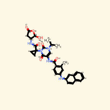 Cc1cc(Nc2ccc3ccccc3c2)ccc1C(=O)Nc1cn(C(C)C)c(=O)n(C2(C(=O)N[C@H]3CC(=O)OC3O)CC2)c1=O